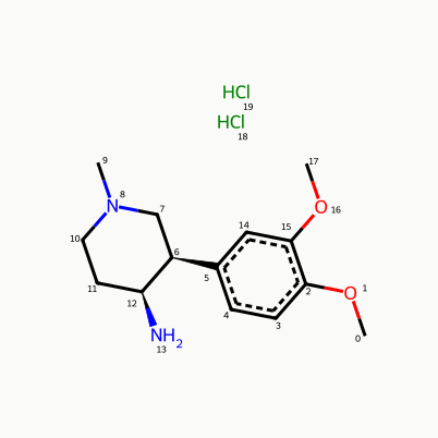 COc1ccc([C@@H]2CN(C)CC[C@@H]2N)cc1OC.Cl.Cl